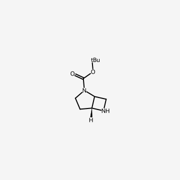 CC(C)(C)OC(=O)N1CC[C@H]2NCC21